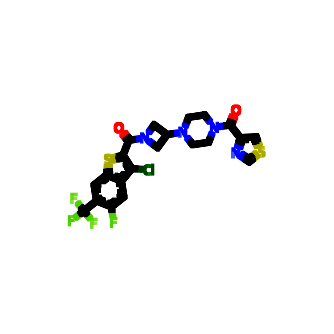 O=C(c1cscn1)N1CCN(C2CN(C(=O)c3sc4cc(C(F)(F)F)c(F)cc4c3Cl)C2)CC1